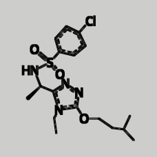 CCn1c(OCCC(C)C)nnc1[C@@H](C)NS(=O)(=O)c1ccc(Cl)cc1